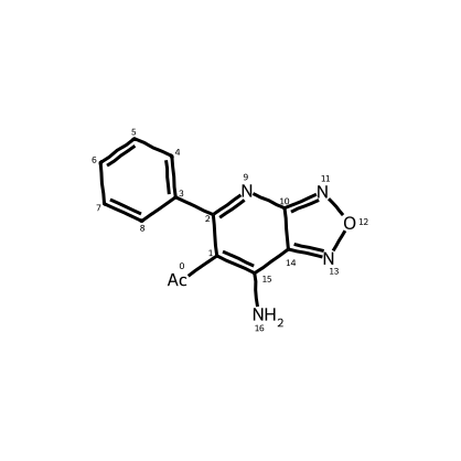 CC(=O)c1c(-c2ccccc2)nc2nonc2c1N